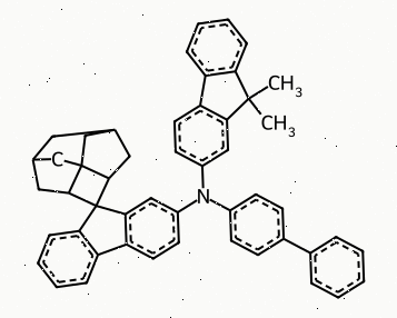 CC1(C)c2ccccc2-c2ccc(N(c3ccc(-c4ccccc4)cc3)c3ccc4c(c3)C3(c5ccccc5-4)C4CC5CC6CC3C4(C5)C6)cc21